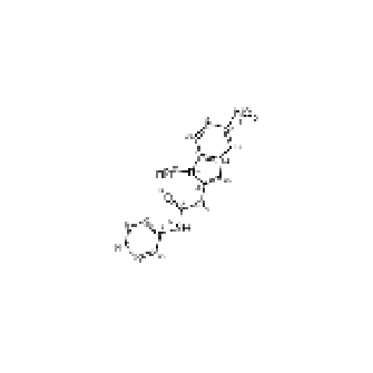 CCCn1c(OC(=O)Nc2ccccc2)cc2cc([N+](=O)[O-])ccc21